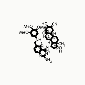 COc1cc(NCc2ccc3nc(N)nc(N)c3c2C)cc(OC)c1OC.C[C@]12CC[C@H]3[C@@H](CC[C@@]45O[C@@H]4C(O)=C(C#N)C[C@]35C)[C@@H]1CC[C@@H]2O